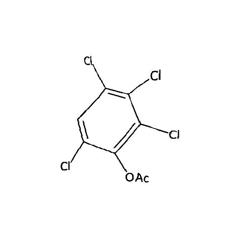 CC(=O)Oc1c(Cl)cc(Cl)c(Cl)c1Cl